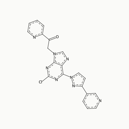 O=C(Cn1cnc2c(-n3ccc(-c4cccnc4)n3)nc(Cl)nc21)c1ccccn1